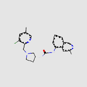 Cc1cc2c(NC(=O)N[C@@H]3CCN(Cc4ncc(C(F)(F)F)cc4Cl)C3)cccc2cn1